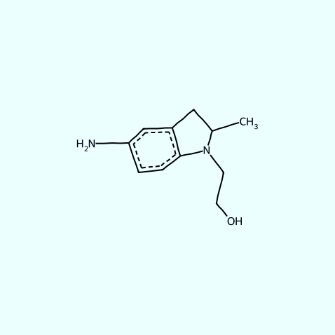 CC1Cc2cc(N)ccc2N1CCO